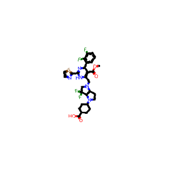 COC(=O)C1=C(CN2CC(F)(F)C3C2CCN3C2CCC(C(=O)O)CC2)NC(c2nccs2)=NC1c1cccc(F)c1F